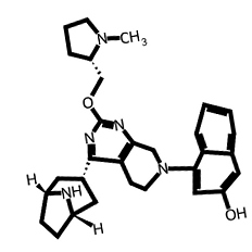 CN1CCC[C@H]1COc1nc2c(c([C@H]3C[C@H]4CC[C@@H](C3)N4)n1)CCN(c1cc(O)cc3ccccc13)C2